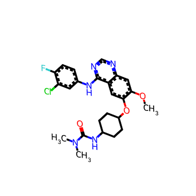 COc1cc2ncnc(Nc3ccc(F)c(Cl)c3)c2cc1OC1CCC(NC(=O)N(C)C)CC1